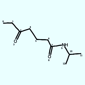 CCC(=O)CCCC(=O)NC(C)C